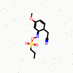 CCCS(=O)(=O)ON=C1C=C(OC)C=CC1CC#N